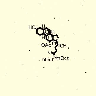 CCCCCCCCN(CCCCCCCC)C(=O)CC[C@@H](C)[C@H]1CC[C@H]2[C@@H]3CC[C@@H]4C[C@H](O)CC[C@]4(C)[C@H]3C[C@H](OC(C)=O)[C@]12C